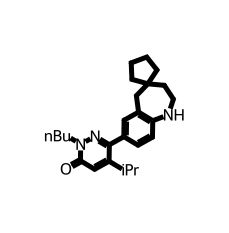 CCCCn1nc(-c2ccc3c(c2)CC2(CCCC2)CCN3)c(C(C)C)cc1=O